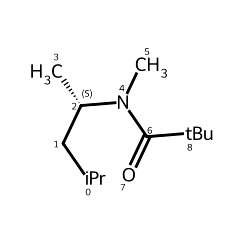 CC(C)C[C@H](C)N(C)C(=O)C(C)(C)C